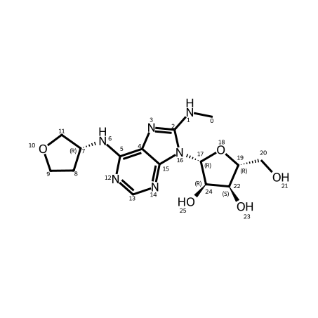 CNc1nc2c(N[C@@H]3CCOC3)ncnc2n1[C@@H]1O[C@H](CO)[C@@H](O)[C@H]1O